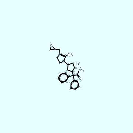 CC1=[N+](CC2CO2)CCN1C1CCC(C(C(N)=O)(c2ccccc2)c2ccccc2)C1.[Br-]